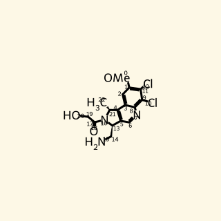 COc1cc2c3c(cnc2c(Cl)c1Cl)[C@@H](CN)N(C(=O)CO)[C@H]3C